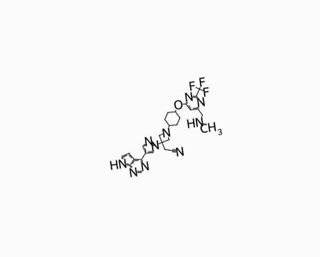 CNCc1cc(OC2CCC(N3CC(CC#N)(n4cc(-c5ncnc6[nH]ccc56)cn4)C3)CC2)nc(C(F)(F)F)n1